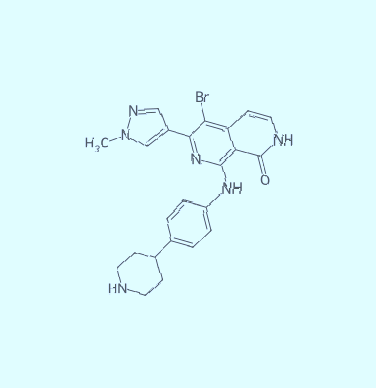 Cn1cc(-c2nc(Nc3ccc(C4CCNCC4)cc3)c3c(=O)[nH]ccc3c2Br)cn1